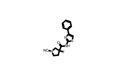 N#CN1CCC(F)(C(=O)Nc2nc(-c3ccccc3)cs2)C1